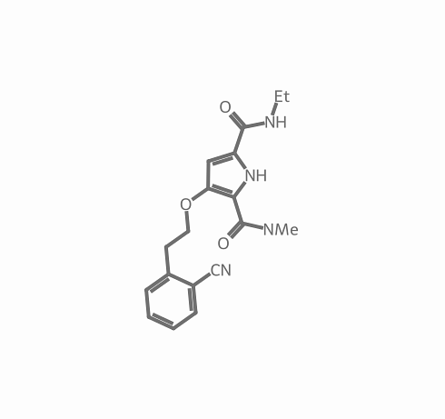 CCNC(=O)c1cc(OCCc2ccccc2C#N)c(C(=O)NC)[nH]1